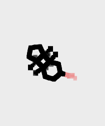 BC1CC[C@@H]2[C@H]3CCC[C@H]3[C@@H]2C1